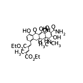 CCOC(=O)C(=C\c1ccc(O)c2c1C[C@H]1C[C@H]3[C@H](N(C)C)C(O)=C(C(N)=O)C(=O)[C@@]3(O)C(O)=C1C2=O)/C=C(\C)C(=O)OCC